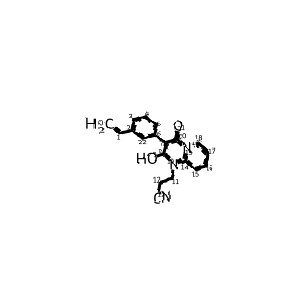 C=Cc1cccc(-c2c(O)n(CCC#N)c3cccc[n+]3c2=O)c1